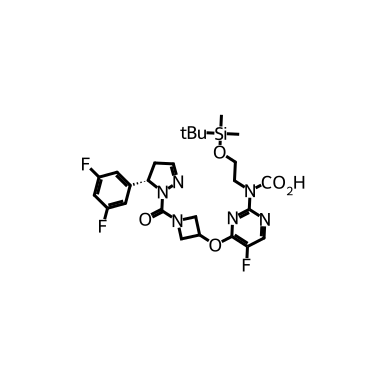 CC(C)(C)[Si](C)(C)OCCN(C(=O)O)c1ncc(F)c(OC2CN(C(=O)N3N=CC[C@H]3c3cc(F)cc(F)c3)C2)n1